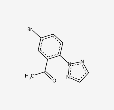 CC(=O)c1cc(Br)ccc1-n1nccn1